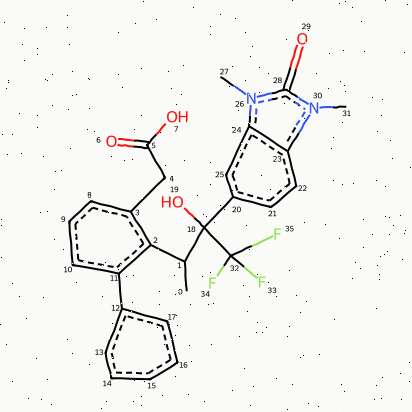 CC(c1c(CC(=O)O)cccc1-c1ccccc1)C(O)(c1ccc2c(c1)n(C)c(=O)n2C)C(F)(F)F